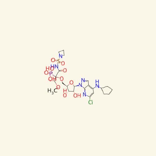 COCC(OC[C@H]1O[C@@H](n2ncc3c(NC4CCCC4)cc(Cl)nc32)[C@H](O)[C@@H]1O)(C(=O)NS(=O)(=O)N1CCC1)P(=O)(O)O